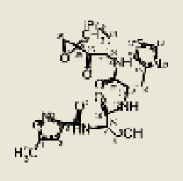 Cc1cc(C(=O)N[C@@H](CO)C(=O)N[C@@H](Cc2cscn2)C(=O)N[C@@H](CC(C)C)C(=O)[C@@]2(C)CO2)no1